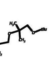 CC(C)(C)OCC(C)(C)OCCN